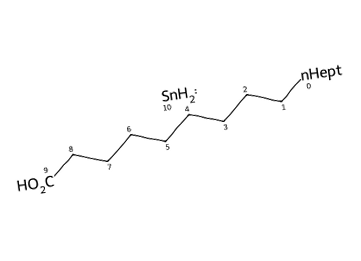 CCCCCCCCCCCCCCCC(=O)O.[SnH2]